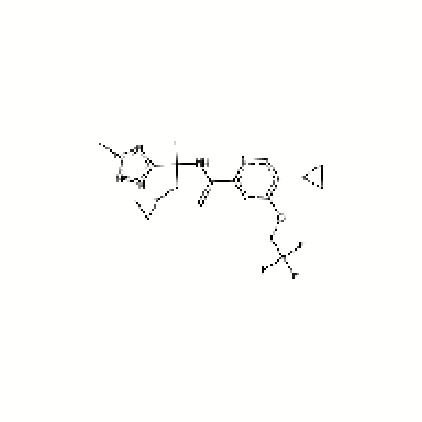 Cn1nnc(C(C)(CC2CC2)NC(=O)c2cc(OCC(F)(F)F)c(C3CC3)cn2)n1